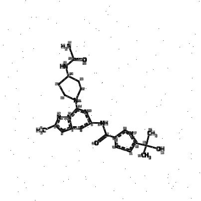 Cc1cc2cc(NC(=O)c3ccc(C(C)(C)O)nc3)nc(N3CCC(NC(N)=O)CC3)n2n1